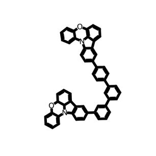 C1=CC2Oc3ccccc3N3c4ccc(-c5cccc(-c6cccc(-c7ccc(-c8ccc9c(c8)c8cccc%10c8n9-c8ccccc8O%10)cc7)c6)c5)cc4C(=C1)C23